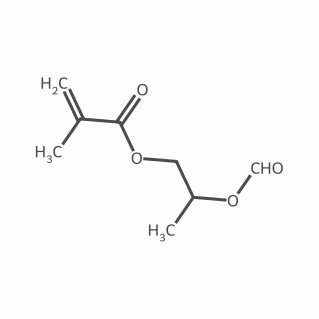 C=C(C)C(=O)OCC(C)OC=O